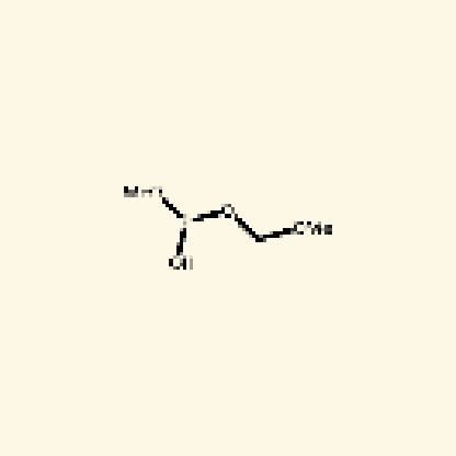 COCOP(O)OC